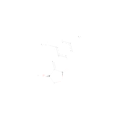 COc1ccc(C=C2C(=O)COC2=O)c(OC)c1